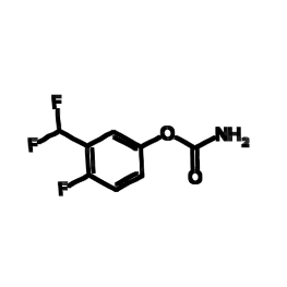 NC(=O)Oc1ccc(F)c(C(F)F)c1